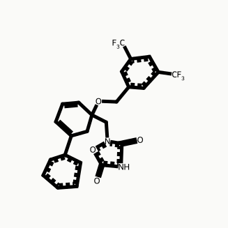 O=c1[nH]c(=O)n(CC2(OCc3cc(C(F)(F)F)cc(C(F)(F)F)c3)C=CC=C(c3ccccc3)C2)o1